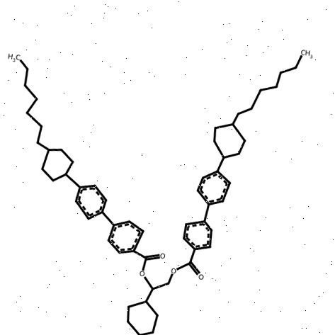 CCCCCCCC1CCC(c2ccc(-c3ccc(C(=O)OCC(OC(=O)c4ccc(-c5ccc(C6CCC(CCCCCCC)CC6)cc5)cc4)C4CCCCC4)cc3)cc2)CC1